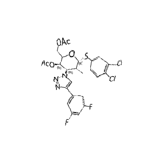 CC(=O)OCC1O[C@H](Sc2ccc(Cl)c(Cl)c2)C(C)[C@@H](n2cc(-c3cc(F)cc(F)c3)nn2)[C@H]1OC(C)=O